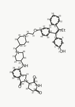 CC/C(=C(\c1ccc(O)cc1)c1ccc(OCCN2CCC(CN3CCC(Nc4cccc5c4CN(C4CCC(=O)NC4=O)C5=O)CC3)CC2)cc1)c1ccccc1